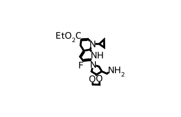 CCOC(=O)C1=CN(C2CC2)C2NC(N3CC(CN)C4(C3)OCCO4)=C(F)C=C2C1